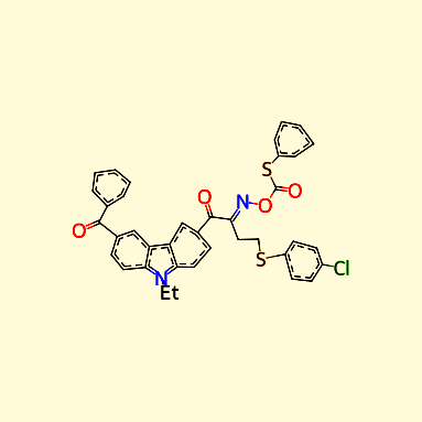 CCn1c2ccc(C(=O)/C(CCSc3ccc(Cl)cc3)=N/OC(=O)Sc3ccccc3)cc2c2cc(C(=O)c3ccccc3)ccc21